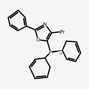 CC(C)c1nc(-c2ccccc2)oc1P(C1C=CC=CC1)[C@@H]1C=CC=CC1